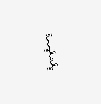 O=C(O)COCC(=O)NCCCCO